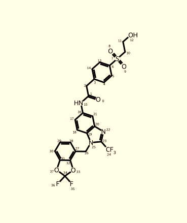 O=C(Cc1ccc(S(=O)(=O)CCO)cc1)Nc1ccc2c(c1)nc(C(F)(F)F)n2Cc1cccc2c1OC(F)(F)O2